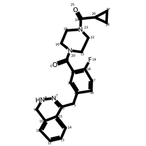 O=C(c1cc(CC2=NNCc3ccccc32)ccc1F)N1CCN(C(=O)C2CC2)CC1